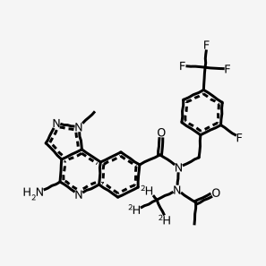 [2H]C([2H])([2H])N(C(C)=O)N(Cc1ccc(C(F)(F)F)cc1F)C(=O)c1ccc2nc(N)c3cnn(C)c3c2c1